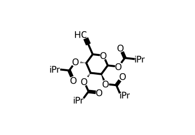 C#CC1OC(OC(=O)C(C)C)[C@@H](OC(=O)C(C)C)[C@H](OC(=O)C(C)C)[C@@H]1OC(=O)C(C)C